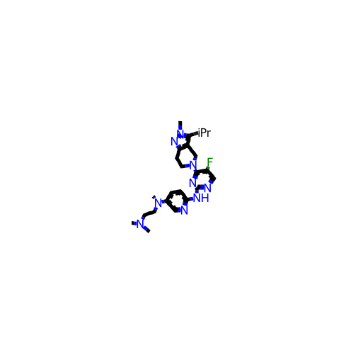 CC(C)c1c2c(nn1C)CCN(c1nc(Nc3ccc(N(C)CCN(C)C)cn3)ncc1F)C2